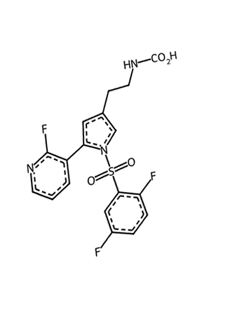 O=C(O)NCCc1cc(-c2cccnc2F)n(S(=O)(=O)c2cc(F)ccc2F)c1